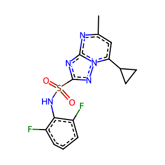 Cc1cc(C2CC2)n2nc(S(=O)(=O)Nc3c(F)cccc3F)nc2n1